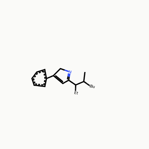 CCC(C)C(C)C(CC)C1=NCC(c2ccccc2)=C1